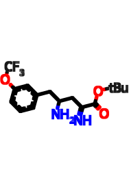 CC(C)(C)OC(=O)C(=N)CC(N)Cc1cccc(OC(F)(F)F)c1